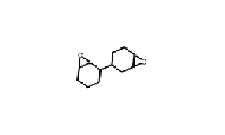 C1CC2OC2C([C]2CCC3OC3C2)C1